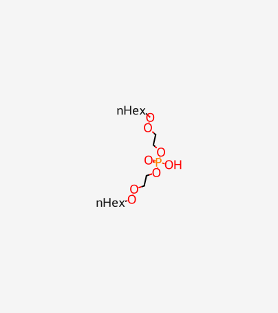 CCCCCCOOCCOP(=O)(O)OCCOOCCCCCC